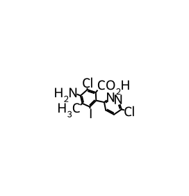 Cc1c(N)c(Cl)c(C(=O)O)c(-c2ccc(Cl)nn2)c1I